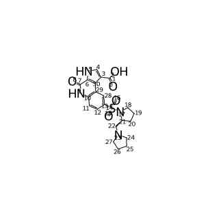 O=C(O)c1c[nH]c2c(=O)[nH]c3ccc(S(=O)(=O)N4CCC[C@H]4CN4CCCC4)cc3c12